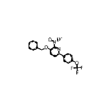 O=[N+]([O-])c1nc(-c2ccc(OC(F)(F)F)cc2)ccc1OCc1ccccc1